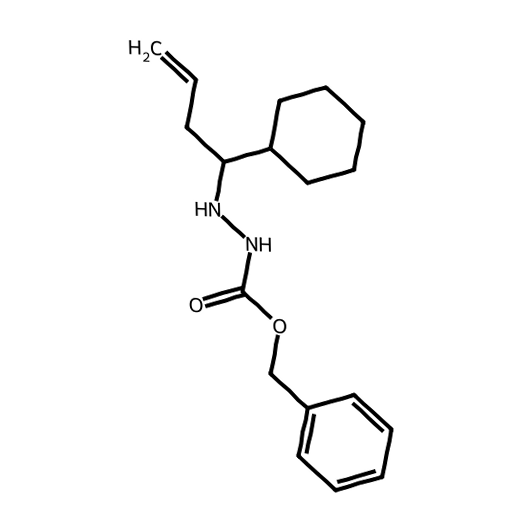 C=CCC(NNC(=O)OCc1ccccc1)C1CCCCC1